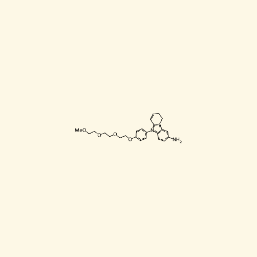 COCCOCCOCCOc1ccc(-n2c3c(c4cc(N)ccc42)CCC=C3)cc1